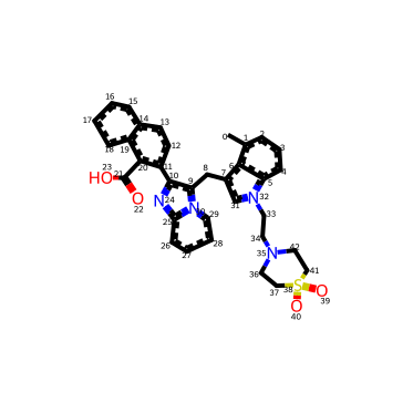 Cc1cccc2c1c(Cc1c(-c3ccc4ccccc4c3C(=O)O)nc3ccccn13)cn2CCN1CCS(=O)(=O)CC1